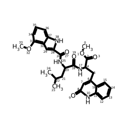 COC(=O)C(Cc1cc(=O)[nH]c2ccccc12)NC(=O)C(CC(C)C)NC(=O)c1cc2c(OC)cccc2[nH]1